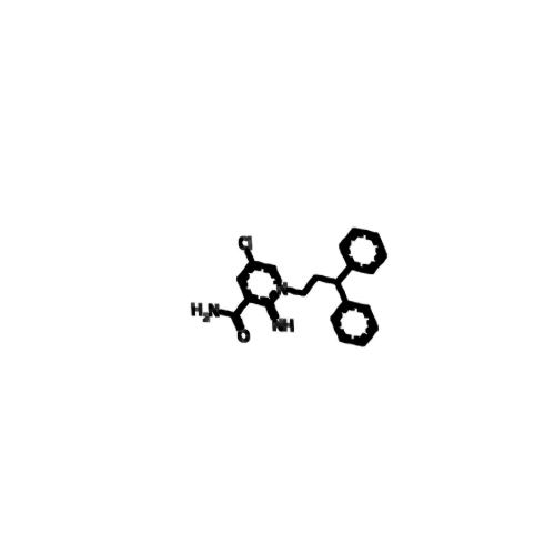 N=c1c(C(N)=O)cc(Cl)cn1CCC(c1ccccc1)c1ccccc1